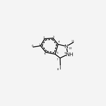 Cc1ccc2c(c1)C(I)NN2C